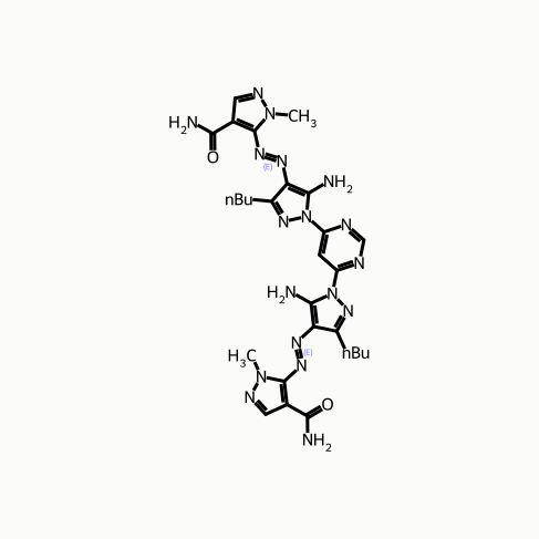 CCCCc1nn(-c2cc(-n3nc(CCCC)c(/N=N/c4c(C(N)=O)cnn4C)c3N)ncn2)c(N)c1/N=N/c1c(C(N)=O)cnn1C